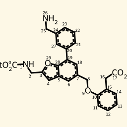 CCOC(=O)NCc1cc2cc(COc3ccccc3CC(=O)O)cc(-c3cccc(CN)c3)c2o1